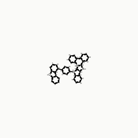 c1ccc2c(c1)oc1cccc(-c3ccc(-n4c5ccccc5c5nc6c7ccccc7c7ccccc7n6c54)cc3)c12